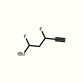 C#CC(F)CC(F)C(C)(C)C